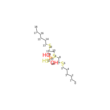 CCCCCCSCCS(CCSCCCCCC)=P(O)(O)S